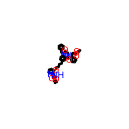 CCOC(=O)CC(c1ccccc1)N1CC(=O)N(Cc2ccccc2)c2ccc(CCCCOc3cccnc3NC(=O)OC(C)(C)C)cc2C1=O